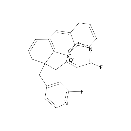 [O-][S+]1C2=CC=CCC2=CC2=C1C(Cc1ccnc(F)c1)(Cc1ccnc(F)c1)CC=C2